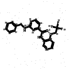 O=C(Nc1cnccc1OCC(F)(F)F)c1ccnc(NCc2ccccc2)n1